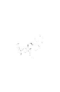 c1ccc(-n2c3ccccc3c3cc4c(cc32)c2ccc(-c3c5ccccc5c(-c5cccc6ccccc56)c5ccccc35)cc2n4-c2ccccc2)cc1